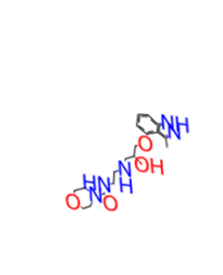 Cc1n[nH]c2cccc(OC[C@@H](O)CNCCNC(=O)N3CCOCC3)c12